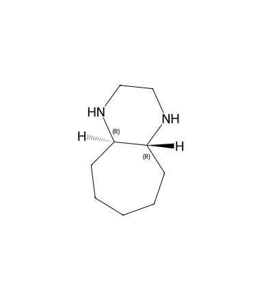 C1CC[C@H]2NCCN[C@@H]2CC1